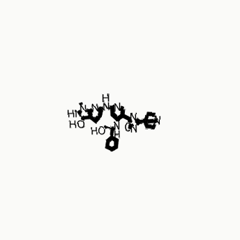 CN1NC(O)c2ccc(Nc3cc(N[C@H](CO)c4ccccc4)c(-c4nc(C56CCN(CC5)CC6)no4)cn3)nc21